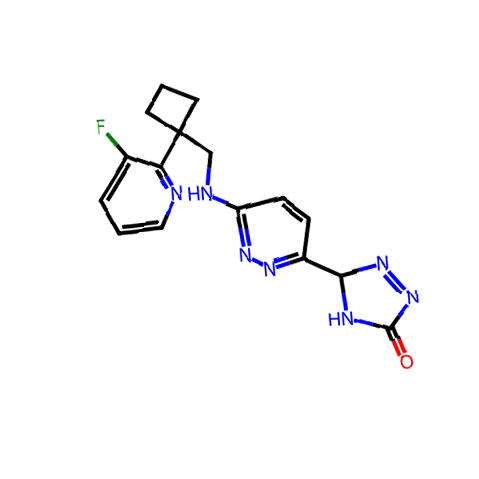 O=C1N=NC(c2ccc(NCC3(c4ncccc4F)CCC3)nn2)N1